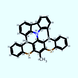 Cc1c2c3c4c5c1Sc1ccccc1B5c1cccc5c6cccc(c6n-4c15)B3c1ccccc1S2